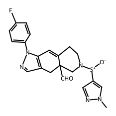 Cn1cc([S+]([O-])N2CCC3=Cc4c(cnn4-c4ccc(F)cc4)CC3(C=O)C2)cn1